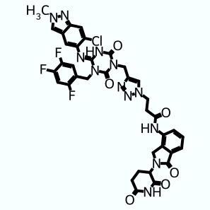 Cn1cc2cc(/N=c3\[nH]c(=O)n(Cc4cn(CCC(=O)Nc5cccc6c5CN(C5CCC(=O)NC5=O)C6=O)nn4)c(=O)n3Cc3cc(F)c(F)cc3F)c(Cl)cc2n1